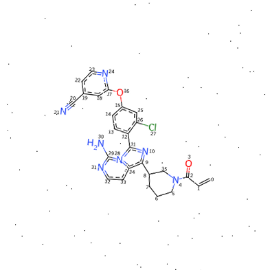 C=CC(=O)N1CCCC(c2nc(-c3ccc(Oc4cc(C#N)ccn4)cc3Cl)n3c(N)nccc23)C1